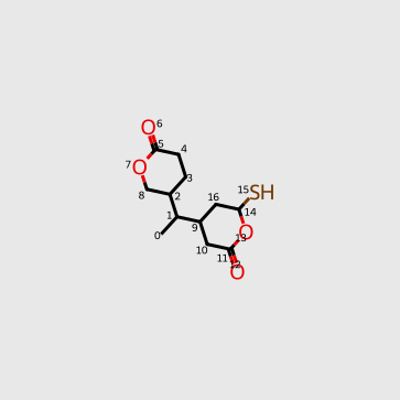 CC(C1CCC(=O)OC1)C1CC(=O)OC(S)C1